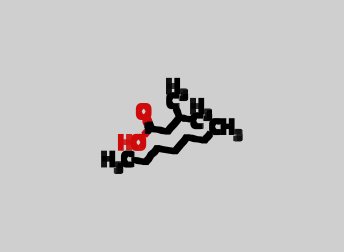 CC(C)CC(=O)O.CCCCCCC